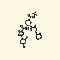 CN(CCc1ccccn1)C(=O)[C@@H]1CN(C(=O)OC(C)(C)C)CC[C@H]1NC(=O)c1cc(-c2ccc(F)cc2F)on1